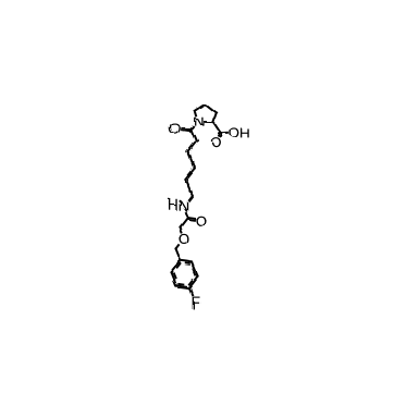 O=C(COCc1ccc(F)cc1)NCCCCCC(=O)N1CCCC1C(=O)O